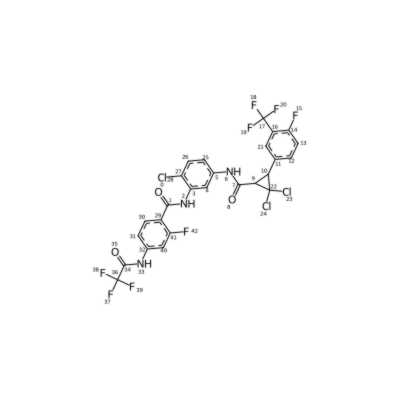 O=C(Nc1cc(NC(=O)C2C(c3ccc(F)c(C(F)(F)F)c3)C2(Cl)Cl)ccc1Cl)c1ccc(NC(=O)C(F)(F)F)cc1F